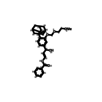 COCCOCOc1cc(C(O)C=COC(=O)c2ccccc2)ccc1C12CC3CC(CC(C3)C1)C2